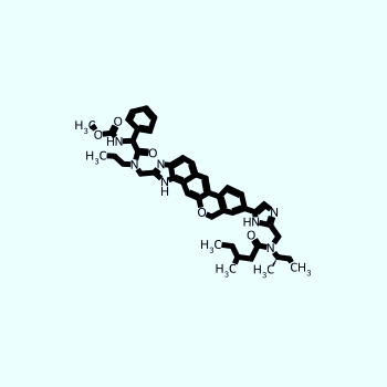 CCCN(Cc1nc2ccc3cc4c(cc3c2[nH]1)OCc1cc(-c2cnc(CN(C(=O)CC(C)CC)[C@@H](C)CC)[nH]2)ccc1-4)C(=O)C(NC(=O)OC)c1ccccc1